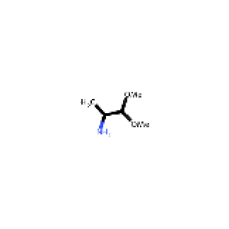 [CH2]C(N)C(OC)OC